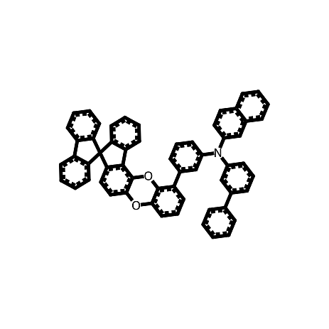 c1ccc(-c2cccc(N(c3cccc(-c4cccc5c4Oc4c(ccc6c4-c4ccccc4C64c6ccccc6-c6ccccc64)O5)c3)c3ccc4ccccc4c3)c2)cc1